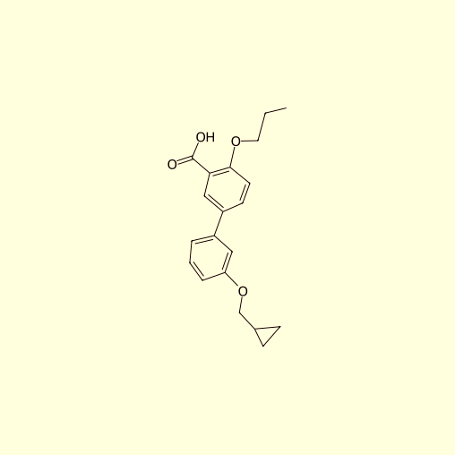 CCCOc1ccc(-c2cccc(OCC3CC3)c2)cc1C(=O)O